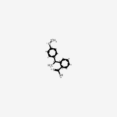 COc1ccc(C(C)c2ccccc2C(=S)S)cc1